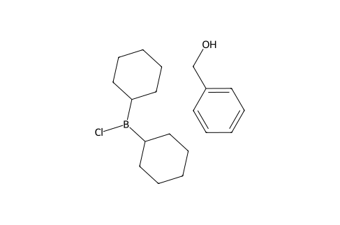 ClB(C1CCCCC1)C1CCCCC1.OCc1ccccc1